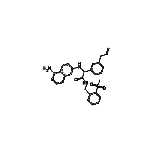 C=CCc1cccc(C(Nc2ccc3c(N)nccc3c2)C(=O)NCc2ccccc2S(C)(=O)=O)c1